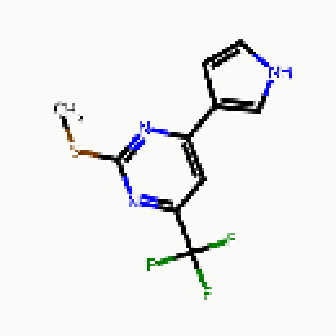 CSc1nc(-c2cc[nH]c2)cc(C(F)(F)F)n1